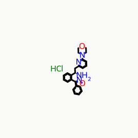 Cl.N[C@@H](Cc1cccc(N2CCOCC2)n1)c1ccccc1-c1noc2ccccc12